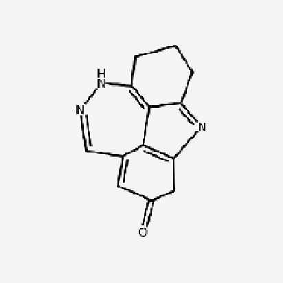 O=C1C=C2C=NNC3=C4C(=NC(=C24)C1)CCC3